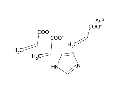 C=CC(=O)[O-].C=CC(=O)[O-].C=CC(=O)[O-].[Au+3].c1c[nH]cn1